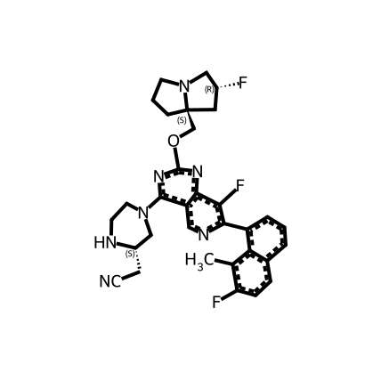 Cc1c(F)ccc2cccc(-c3ncc4c(N5CCN[C@@H](CC#N)C5)nc(OC[C@@]56CCCN5C[C@H](F)C6)nc4c3F)c12